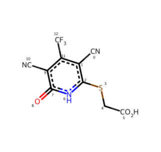 N#Cc1c(SCC(=O)O)[nH]c(=O)c(C#N)c1C(F)(F)F